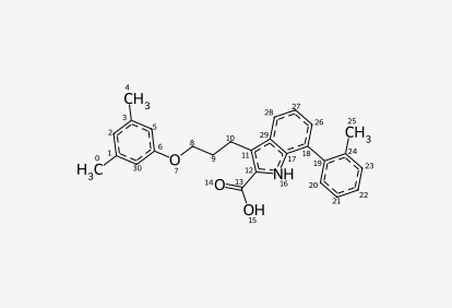 Cc1cc(C)cc(OCCCc2c(C(=O)O)[nH]c3c(-c4ccccc4C)cccc23)c1